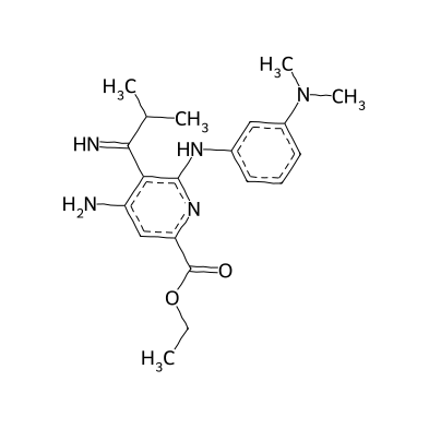 CCOC(=O)c1cc(N)c(C(=N)C(C)C)c(Nc2cccc(N(C)C)c2)n1